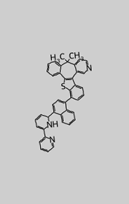 CC1(C)c2ccccc2-c2sc3c(-c4ccc(C5C=CC=C(c6ccccn6)N5)c5ccccc45)cccc3c2-c2cnccc21